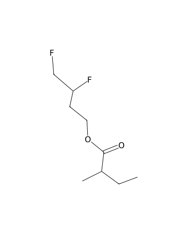 CCC(C)C(=O)OCCC(F)CF